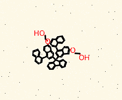 OCCOc1ccc2c(-c3cccc4ccccc34)cc(C3(c4cc(-c5cccc6ccccc56)c5ccc(OCCO)cc5c4)c4ccccc4-c4ccccc43)cc2c1